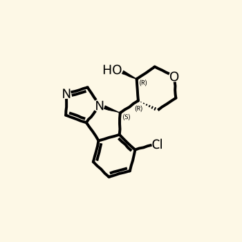 O[C@H]1COCC[C@@H]1[C@H]1c2c(Cl)cccc2-c2cncn21